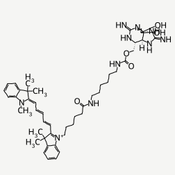 CN1\C(=C/C=C/C=C/C2=[N+](CCCCCC(=O)NCCCCCCNC(=O)OC[C@@H]3NC(=N)N4CCC(O)(O)[C@@]45NC(=N)N[C@@H]35)c3ccccc3C2(C)C)C(C)(C)c2ccccc21